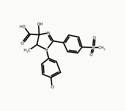 CC1N(c2ccc(Cl)cc2)C(c2ccc(S(C)(=O)=O)cc2)=NC1(O)C(=O)O